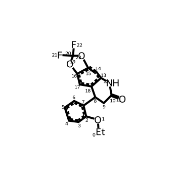 CCOc1ccccc1C1CC(=O)Nc2cc3c(cc21)OC(F)(F)O3